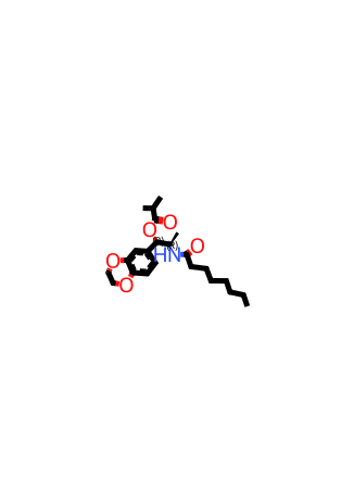 CCCCCCCC(=O)N[C@H](C)[C@H](OC(=O)C(C)C)c1ccc2c(c1)OCCO2